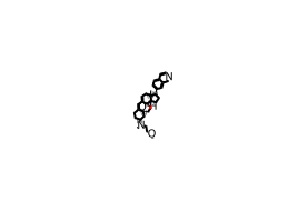 COCCN(C)[C@H]1CCC2=CC3=CC[C@]4(C)[C@@H](c5ccc6ccncc6c5)CC[C@H]4[C@@]34CC[C@]2(C1)O4